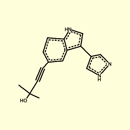 CC(C)(O)C#Cc1ccc2[nH]cc(-c3cn[nH]c3)c2c1